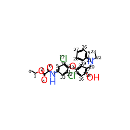 CCOC(=O)C(=O)Nc1cc(Cl)c(Oc2ccc(O)c(CN(CC)c3ccccc3)c2)c(Cl)c1